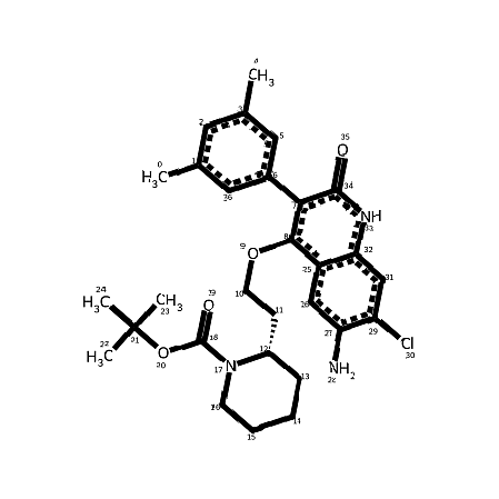 Cc1cc(C)cc(-c2c(OCC[C@@H]3CCCCN3C(=O)OC(C)(C)C)c3cc(N)c(Cl)cc3[nH]c2=O)c1